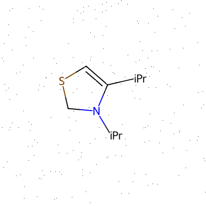 CC(C)C1=CSCN1C(C)C